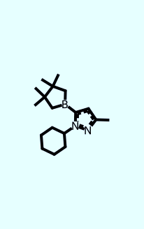 Cc1cc(B2CC(C)(C)C(C)(C)C2)n(C2CCCCC2)n1